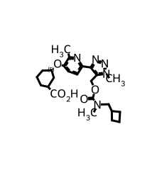 Cc1nc(-c2nnn(C)c2COC(=O)N(C)CC2CCC2)ccc1O[C@H]1CCCC(C(=O)O)C1